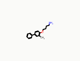 Cc1cc(-c2ccccc2)ccc1OCCCCN